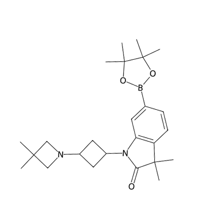 CC1(C)CN(C2CC(N3C(=O)C(C)(C)c4ccc(B5OC(C)(C)C(C)(C)O5)cc43)C2)C1